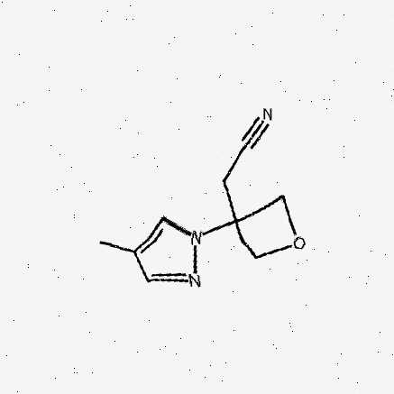 Cc1cnn(C2(CC#N)COC2)c1